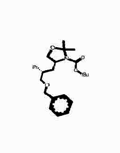 CC(C)[C@@H](COCc1ccccc1)C[C@H]1COC(C)(C)N1C(=O)OC(C)(C)C